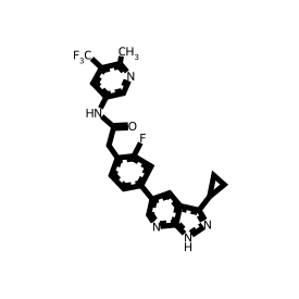 Cc1ncc(NC(=O)Cc2ccc(-c3cnc4[nH]nc(C5CC5)c4c3)cc2F)cc1C(F)(F)F